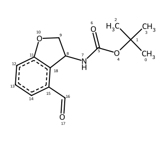 CC(C)(C)OC(=O)NC1COc2cccc(C=O)c21